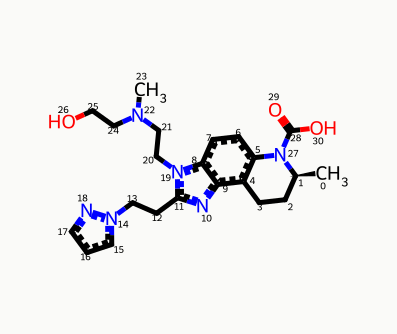 C[C@H]1CCc2c(ccc3c2nc(CCn2cccn2)n3CCN(C)CCO)N1C(=O)O